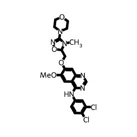 COc1cc2c(Nc3ccc(Cl)c(Cl)c3)ncnc2cc1OCC1ON=C(N2CCOCC2)N1C